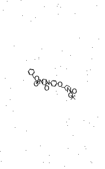 CC(C)(C)OC(=O)N1CCC(COc2ccc(N3CCN(C(=O)OCc4ccccc4)CC3=O)cc2)C1